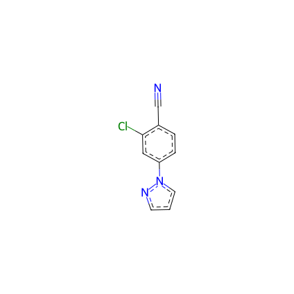 N#Cc1ccc(-n2cccn2)cc1Cl